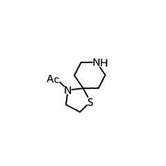 CC(=O)N1CCSC12CCNCC2